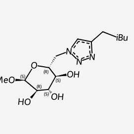 CCC(C)Cc1cn(C[C@H]2O[C@H](OC)[C@H](O)[C@@H](O)[C@@H]2O)nn1